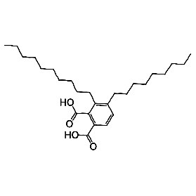 CCCCCCCCCCc1c(CCCCCCCCC)ccc(C(=O)O)c1C(=O)O